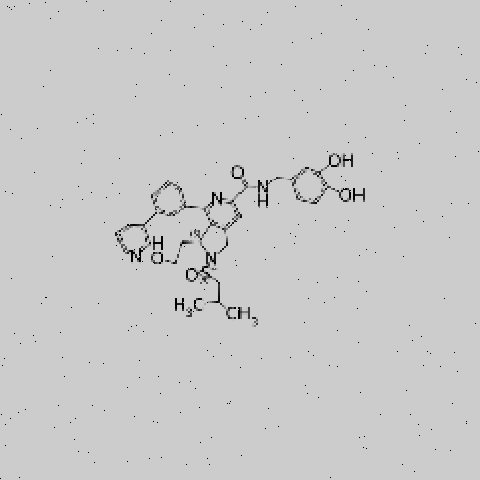 CC(C)C[S@+]([O-])N1Cc2cc(C(=O)NCc3ccc(O)c(O)c3)nc(-c3cccc(-c4cccnc4)c3)c2[C@@H]1CCO